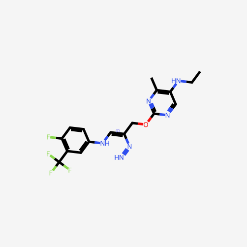 CCNc1cnc(OC/C(=C/Nc2ccc(F)c(C(F)(F)F)c2)N=N)nc1C